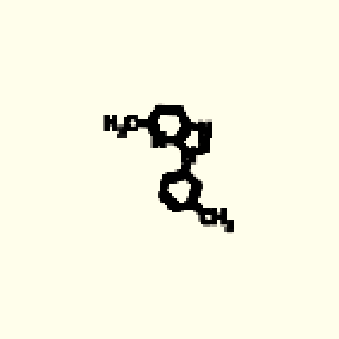 Cc1cccc(-n2cnc3ccc(C)nc32)c1